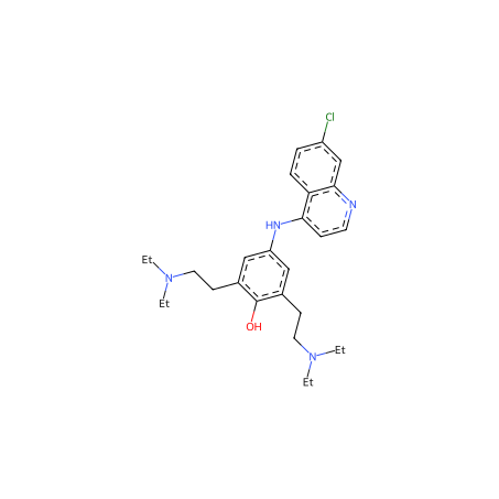 CCN(CC)CCc1cc(Nc2ccnc3cc(Cl)ccc23)cc(CCN(CC)CC)c1O